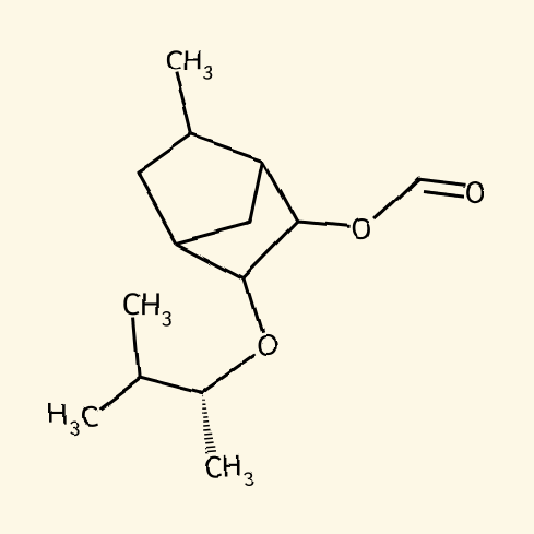 CC1CC2CC1C(OC=O)C2O[C@H](C)C(C)C